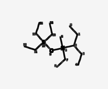 CCC(CC)[Si](C)(CC)O[Si](CC)(CC)CC